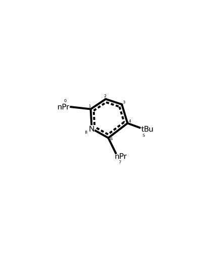 CCCc1ccc(C(C)(C)C)c(CCC)n1